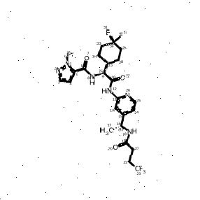 CC(C)n1nccc1C(=O)N[C@H](C(=O)Nc1cc([C@@H](C)NC(=O)CCC(F)(F)F)ccn1)C1CCC(F)(F)CC1